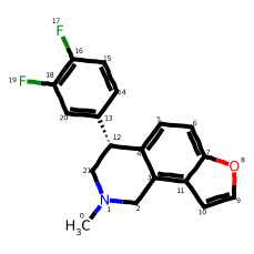 CN1Cc2c(ccc3occc23)[C@@H](c2ccc(F)c(F)c2)C1